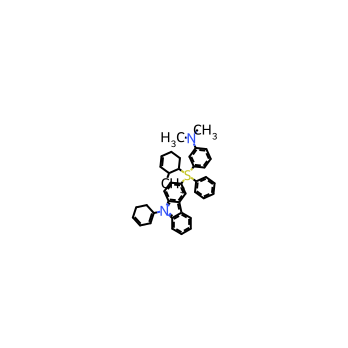 CC1C=CCCC1S(c1ccccc1)(c1cccc(N(C)C)c1)c1ccc2c(c1)c1ccccc1n2C1=CC=CCC1